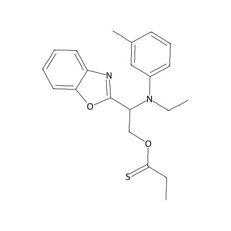 CCC(=S)OCC(c1nc2ccccc2o1)N(CC)c1cccc(C)c1